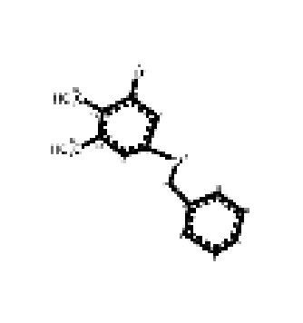 CCc1cc(OCc2ccccc2)cc(C(=O)O)c1C(=O)O